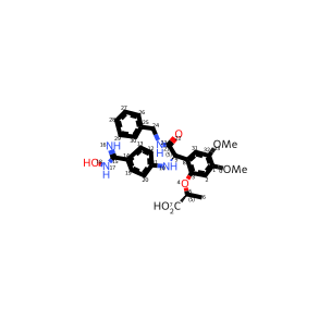 COc1cc(O[C@@H](C)C(=O)O)c([C@H](Nc2ccc(C(=N)NO)cc2)C(=O)NCc2ccccc2)cc1OC